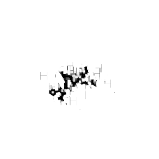 C=CC(=O)NCC[C@H](NC(=O)NC(C)(C)C)C(=O)N1CC2C(C1C(=O)NC(C(=O)C(N)=O)C1CCC1)C2(C)C